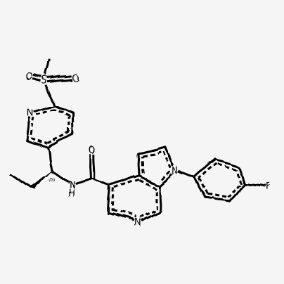 CC[C@H](NC(=O)c1cncc2c1ccn2-c1ccc(F)cc1)c1ccc(S(C)(=O)=O)nc1